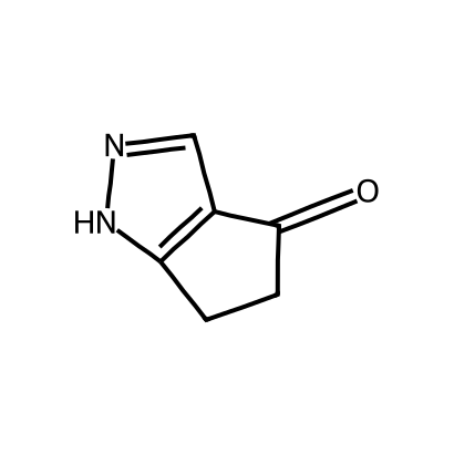 O=C1CCc2[nH]ncc21